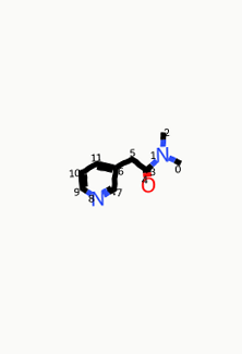 CN(C)C(=O)Cc1[c]nccc1